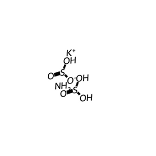 N.O=S(O)O.O=S([O-])O.[K+]